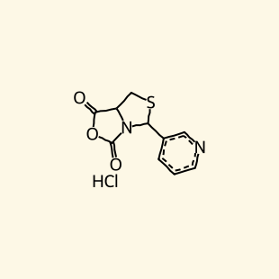 Cl.O=C1OC(=O)N2C1CSC2c1cccnc1